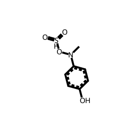 CN(O[SH](=O)=O)c1ccc(O)cc1